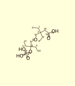 CCC(CC)(COCC(CC)(CC)OP(=O)(O)O)CC(=O)O